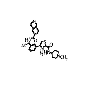 CCC(NC(=O)c1ccc2cnccc2c1)c1cccc(C2=CSC(C(=O)NC3CCN(C)CC3)N2)c1